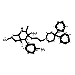 CC1NC(C)C(CCCN2CCC(c3ccccc3)(c3ccccc3)CC2)(C(=O)O)C(c2cccc([N+](=O)[O-])c2)C1(CCC#N)C(=O)O